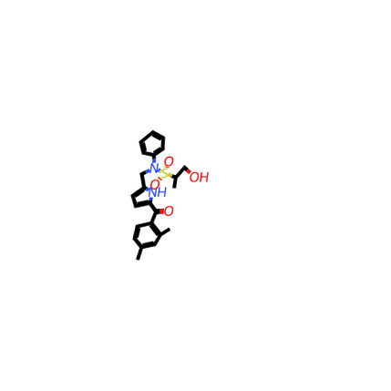 Cc1ccc(C(=O)c2ccc(CN(c3ccccc3)S(=O)(=O)C(C)CO)[nH]2)c(C)c1